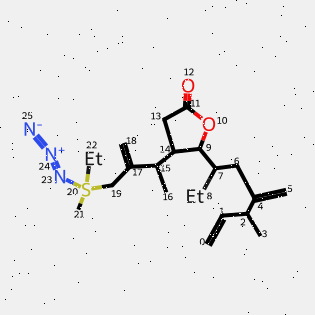 C=CC(C)C(=C)CC(CC)C1OC(=O)CC1C(C)C(=C)CS(C)(CC)N=[N+]=[N-]